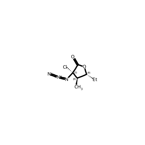 CC[C@H]1OC(=O)[C@](Cl)(N=[N+]=[N-])[C@@H]1C